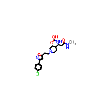 CNC(=O)CC(NC(=O)O)C1CCN(CCc2cc(-c3ccc(Cl)cc3)no2)CC1